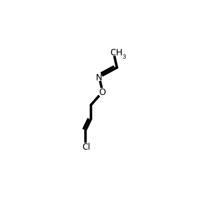 CC=NOCC=CCl